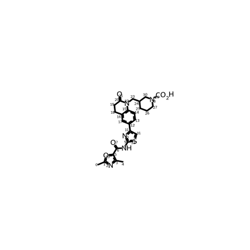 Cc1nc(C)c(C(=O)Nc2nc(-c3ccc4c(c3)CCC(=O)N4CC3CCCN(C(=O)O)C3)cs2)o1